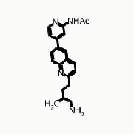 CC(=O)Nc1cc(-c2ccc3nc(CCC(C)CN)ccc3c2)ccn1